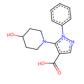 O=C(O)c1cnn(-c2ccccc2)c1N1CCC(O)CC1